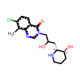 Cc1c(Cl)ccc2c(=O)n(CC(O)C[C@H]3NCCC[C@@H]3O)cnc12